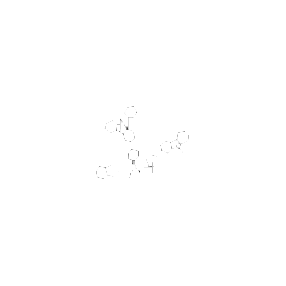 C1=C(c2ccc3c(c2)sc2ccccc23)CCC=C1c1cc(-c2ccc3c(c2)c2ccccc2n3-c2ccccc2)ccc1NC1=CC1C1C=c2ccccc2=CC1